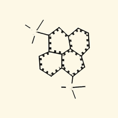 C[Si](C)(C)c1cc2cccc3cc([Si](C)(C)C)c4cccc1c4c23